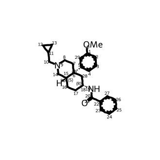 COc1cccc([C@@]23CCN(CC4CC4)C[C@H]2CC[C@@H](NC(=O)c2ccccc2)C3)c1